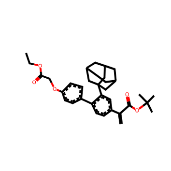 C=C(C(=O)OC(C)(C)C)c1ccc(-c2ccc(OCC(=O)OCC)cc2)c(C23CC4CC(CC(C4)C2)C3)c1